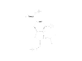 CC(C)N1c2c(Br)cc(C(=O)O)cc2CC1CO